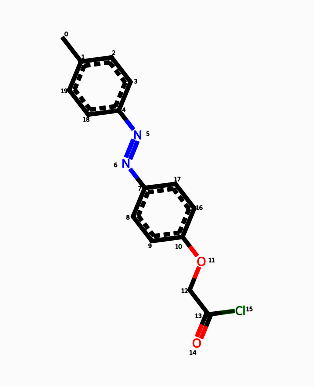 Cc1ccc(/N=N/c2ccc(OCC(=O)Cl)cc2)cc1